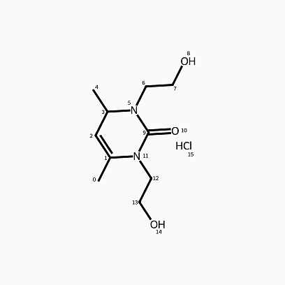 CC1=CC(C)N(CCO)C(=O)N1CCO.Cl